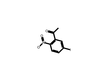 CC(=O)c1cc(I)ccc1[N+](=O)[O-]